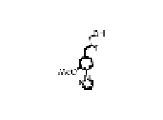 COc1cc(C=C(F)CO)ccc1-n1cccn1